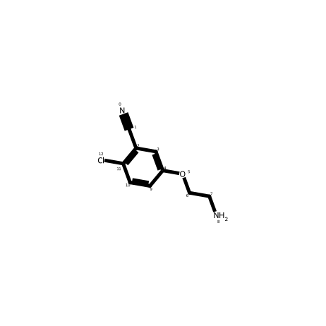 N#Cc1cc(OCCN)ccc1Cl